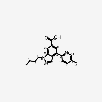 CCCCn1ncc2c(-c3ccc(C)cn3)cc(C(=O)O)cc21